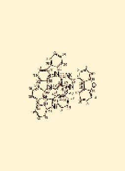 c1ccc(-c2nc(-c3cccc4oc5ccccc5c34)nc(-n3c4ccccc4c4ccc5c6ccccc6n(-c6ccccc6-c6nc7ccccc7s6)c5c43)n2)cc1